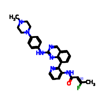 C/C(F)=C/C(=O)Nc1cccnc1-c1cccc2cnc(Nc3ccc(N4CCN(C)CC4)cc3)nc12